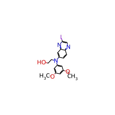 COc1cc(OC)cc(N(CCO)c2ccc3ncc(I)nc3c2)c1